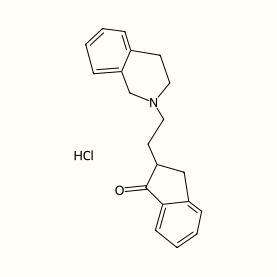 Cl.O=C1c2ccccc2CC1CCN1CCc2ccccc2C1